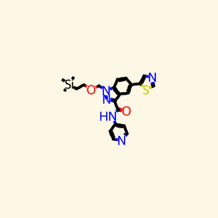 C[Si](C)(C)CCOCn1nc(C(=O)Nc2ccncc2)c2cc(-c3cncs3)ccc21